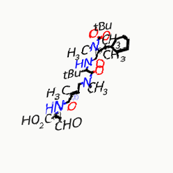 C/C(=C\CN(C)C(=O)C(NC(=O)[C@@H](N(C)C(=O)OC(C)(C)C)C(C)(C)C1=CCCC=C1)C(C)(C)C)C(=O)N[C@@H](CC=O)C(=O)O